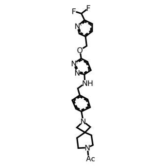 CC(=O)N1CCC2(CC1)CN(c1ccc(CNc3ccc(OCc4ccc(C(F)F)nc4)nn3)cc1)C2